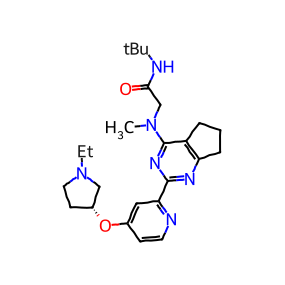 CCN1CC[C@@H](Oc2ccnc(-c3nc4c(c(N(C)CC(=O)NC(C)(C)C)n3)CCC4)c2)C1